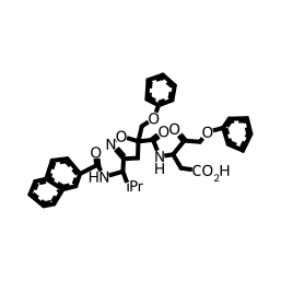 CC(C)C(NC(=O)c1ccc2ccccc2c1)C1=NOC(COc2ccccc2)(C(=O)NC(CC(=O)O)C(=O)COc2ccccc2)C1